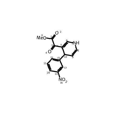 COC(=O)C(=O)C1=CNC=CC1c1cccc([N+](=O)[O-])c1